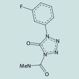 CNC(=O)n1nnn(-c2cccc(F)c2)c1=O